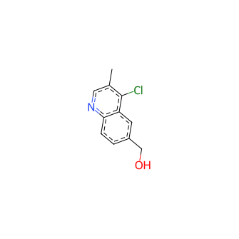 Cc1cnc2ccc(CO)cc2c1Cl